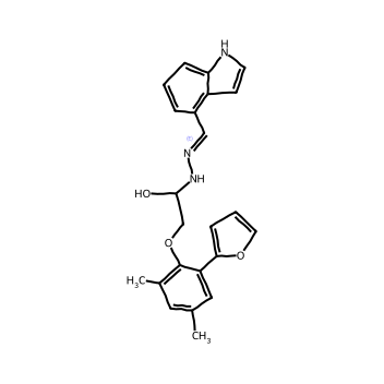 Cc1cc(C)c(OCC(O)N/N=C/c2cccc3[nH]ccc23)c(-c2ccco2)c1